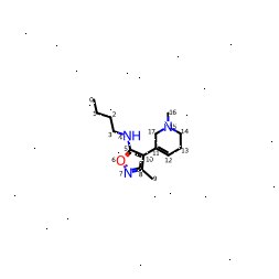 CCCCNc1onc(C)c1C1=CCCN(C)C1